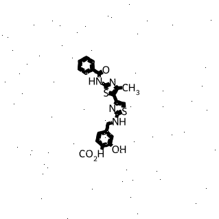 Cc1nc(NC(=O)c2ccccc2)sc1-c1csc(NCc2ccc(C(=O)O)c(O)c2)n1